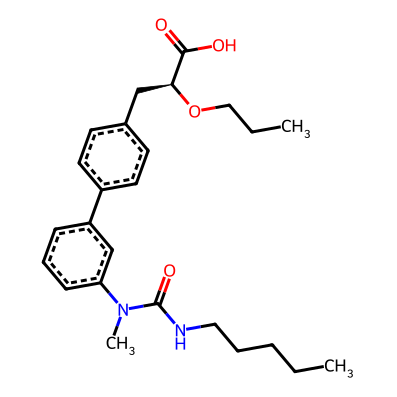 CCCCCNC(=O)N(C)c1cccc(-c2ccc(C[C@H](OCCC)C(=O)O)cc2)c1